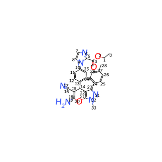 CCOC(=O)c1nccn1-c1ccc(C2C(C#N)=C(N)Oc3c2c(-c2ccc(C)cc2)nn3C)cc1